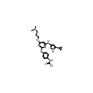 CCC(=O)Nc1ccc(Sc2nc(Nc3cc(C4CC4)[nH]n3)cc(OCCCN(C)C)n2)cc1